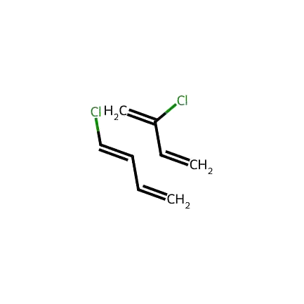 C=CC(=C)Cl.C=CC=CCl